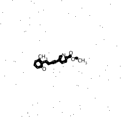 CCOC(=O)c1ccc(C#CC=CC2=C(C)CCCC2=O)cn1